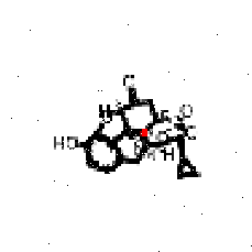 O=C1CC[C@@]2(OS(=O)(=O)F)[C@H]3Cc4ccc(O)c5c4[C@@]2(CCN3CC2CC2)[C@H]1O5